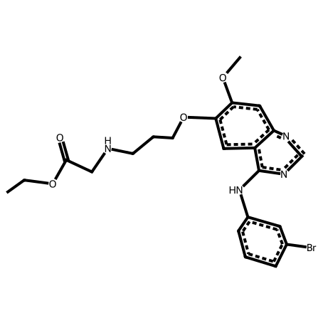 CCOC(=O)CNCCCOc1cc2c(Nc3cccc(Br)c3)ncnc2cc1OC